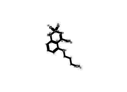 CCCCOc1cccc2c1C(N)=NS(=O)(=O)N2